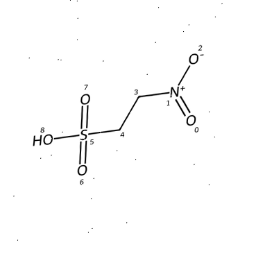 O=[N+]([O-])CCS(=O)(=O)O